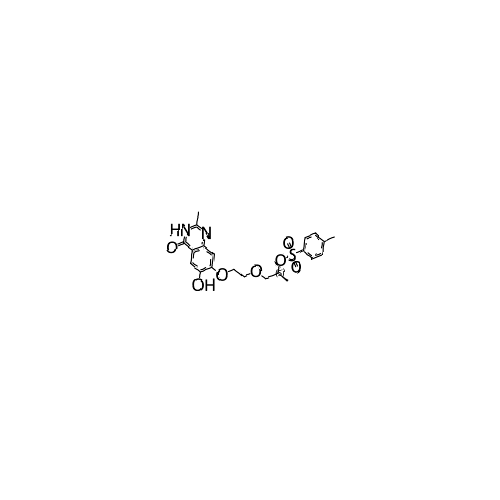 Cc1ccc(S(=O)(=O)O[C@@H](C)COCCOc2cc3nc(C)[nH]c(=O)c3cc2O)cc1